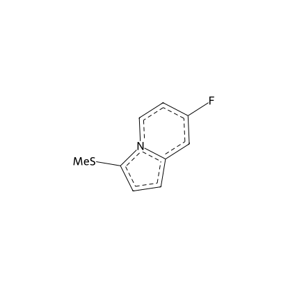 CSc1ccc2cc(F)ccn12